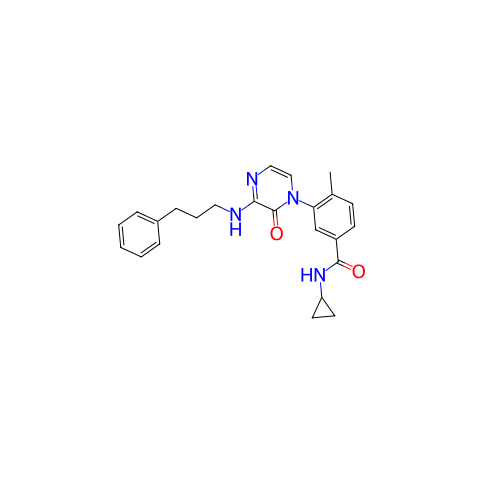 Cc1ccc(C(=O)NC2CC2)cc1-n1ccnc(NCCCc2ccccc2)c1=O